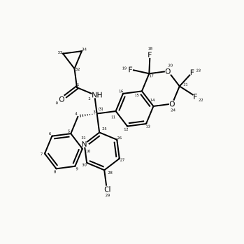 O=C(N[C@@](Cc1ccccc1)(c1ccc2c(c1)C(F)(F)OC(F)(F)O2)c1ccc(Cl)cn1)C1CC1